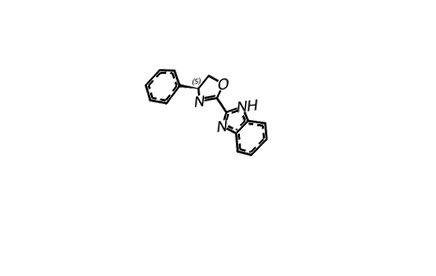 c1ccc([C@H]2COC(c3nc4ccccc4[nH]3)=N2)cc1